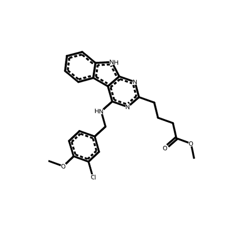 COC(=O)CCCc1nc(NCc2ccc(OC)c(Cl)c2)c2c(n1)[nH]c1ccccc12